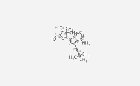 C[C@@H]1[C@@H](CO)O[C@@H](c2cc(C#C[Si](C)(C)C)c3c(N)ncnn23)C1(C)C